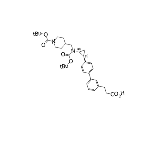 CC(C)(C)OC(=O)N1CCC(CN(C(=O)OC(C)(C)C)[C@@H]2C[C@H]2c2ccc(-c3cccc(CCC(=O)O)c3)cc2)CC1